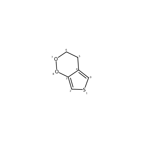 c1scc2c1CCOO2